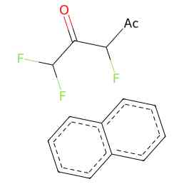 CC(=O)C(F)C(=O)C(F)F.c1ccc2ccccc2c1